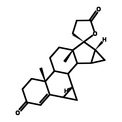 C[C@]12CCC(=O)C=C1C1C[C@@H]1C1C2CC[C@@]2(C)C1C1C[C@@H]1[C@@]21CCC(=O)O1